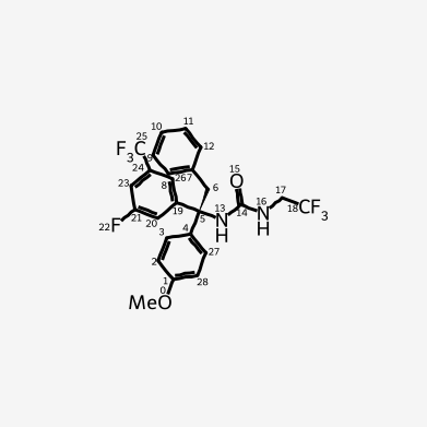 COc1ccc([C@@](Cc2ccccc2)(NC(=O)NCC(F)(F)F)c2cc(F)cc(C(F)(F)F)c2)cc1